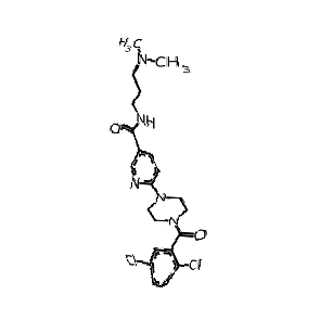 CN(C)CCCNC(=O)c1ccc(N2CCN(C(=O)c3cc(Cl)ccc3Cl)CC2)nc1